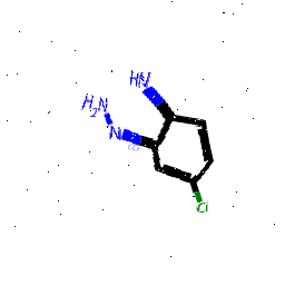 N=C1C=CC(Cl)=C/C1=N/N